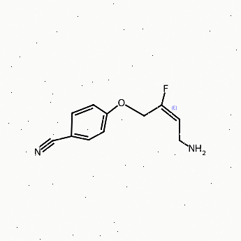 N#Cc1ccc(OC/C(F)=C\CN)cc1